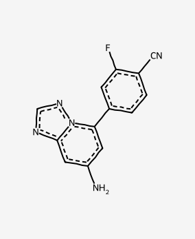 N#Cc1ccc(-c2cc(N)cc3ncnn23)cc1F